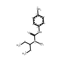 CCC(CC)N(N)C(=O)Nc1ccc(N)cc1